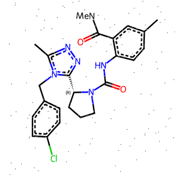 CNC(=O)c1cc(C)ccc1NC(=O)N1CCC[C@@H]1c1nnc(C)n1Cc1ccc(Cl)cc1